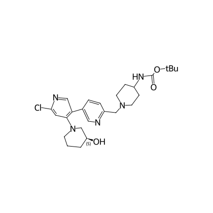 CC(C)(C)OC(=O)NC1CCN(Cc2ccc(-c3cnc(Cl)cc3N3CCC[C@H](O)C3)cn2)CC1